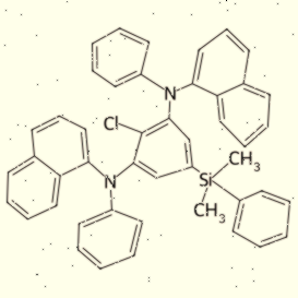 C[Si](C)(c1ccccc1)c1cc(N(c2ccccc2)c2cccc3ccccc23)c(Cl)c(N(c2ccccc2)c2cccc3ccccc23)c1